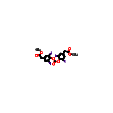 CC(C)(C)OC(=O)Cc1cc(I)c(OC(=O)Oc2c(I)cc(CC(=O)OC(C)(C)C)cc2I)c(I)c1